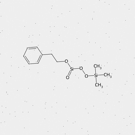 C[Si](C)(C)OO[Si](=O)OCCc1ccccc1